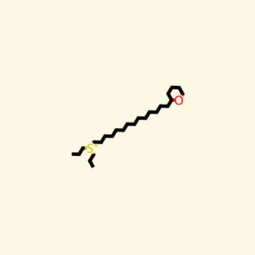 CCC[S+](CCC)CCCCCCCCCCCCCCC1CCCCO1